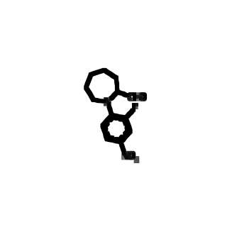 O=CC1CCCCCN1c1ccc([N+](=O)[O-])cc1F